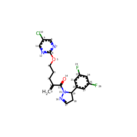 C=C(CCCOc1ncc(Cl)cn1)C(=O)N1N=CCC1c1cc(F)cc(F)c1